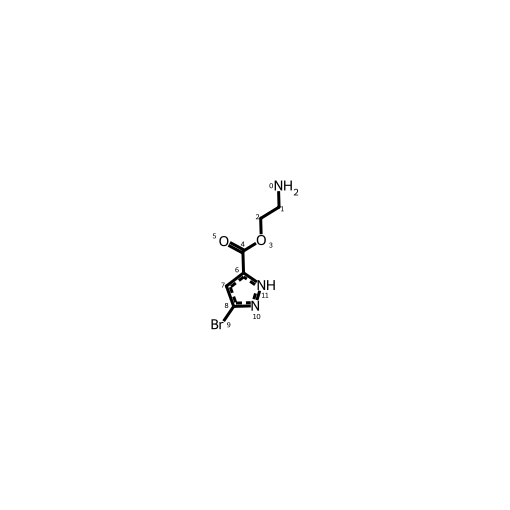 NCCOC(=O)c1cc(Br)n[nH]1